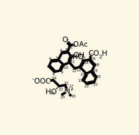 CC(=O)OC(=O)c1cc2ccccc2c(Cc2c(O)c(C(=O)O)cc3ccccc23)c1O.C[N+](C)(C)C[C@H](O)CC(=O)[O-]